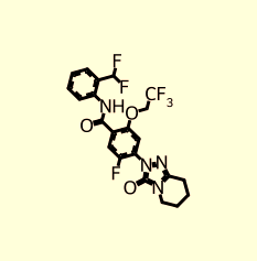 O=C(Nc1ccccc1C(F)F)c1cc(F)c(-n2nc3n(c2=O)CCCC3)cc1OCC(F)(F)F